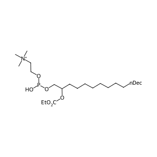 CCCCCCCCCCCCCCCCCCC(COP(O)OCC[N+](C)(C)C)OC(=O)OCC